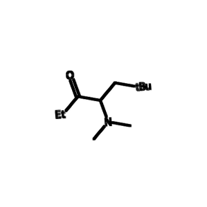 CCC(=O)C(CC(C)(C)C)N(C)C